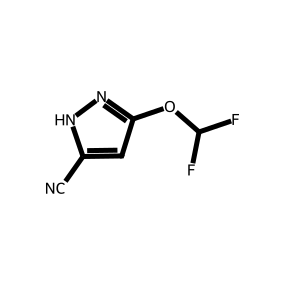 N#Cc1cc(OC(F)F)n[nH]1